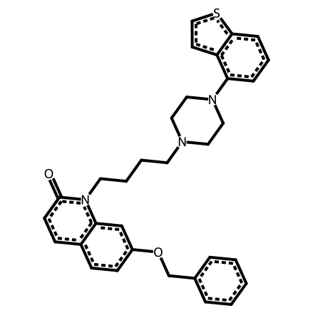 O=c1ccc2ccc(OCc3ccccc3)cc2n1CCCCN1CCN(c2cccc3sccc23)CC1